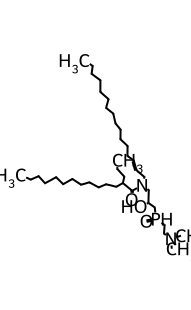 CCCCCCCCCCCCCC=CCN(CC(O)C[PH](=O)CCN(C)C)C(=O)C(CCC)CCCCCCCCCCCC